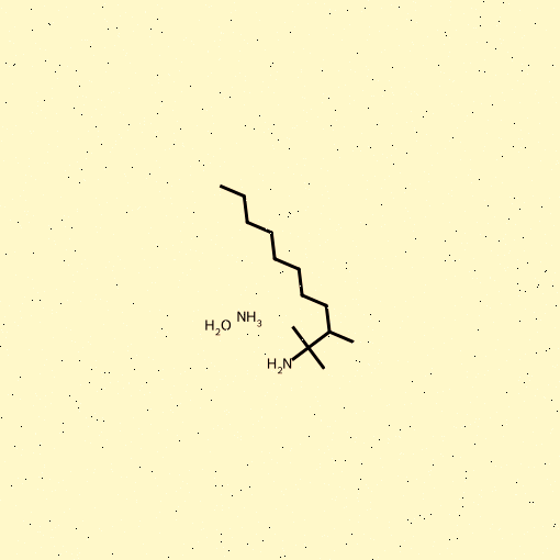 CCCCCCCCC(C)C(C)(C)N.N.O